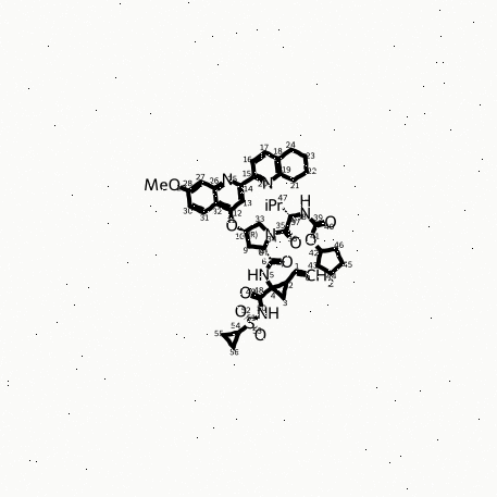 C=CC1CC1(NC(=O)[C@@H]1C[C@@H](Oc2cc(-c3ccc4c(n3)CCCC4)nc3cc(OC)ccc23)CN1C(=O)[C@@H](NC(=O)OC1CCCC1)C(C)C)C(=O)NS(=O)(=O)C1CC1